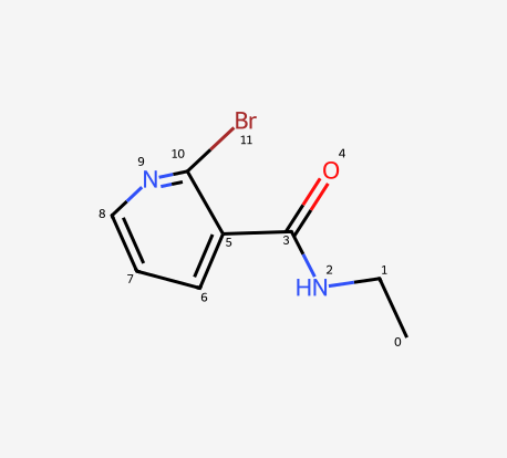 CCNC(=O)c1cccnc1Br